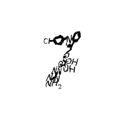 Nc1ncnc2c1ncn2[C@@H]1O[C@H](COCCc2cn(Cc3ccc(Cl)cc3)c3ccccc23)[C@@H](O)[C@H]1O